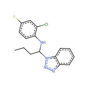 CCCC(Nc1ccc(F)cc1Cl)n1nnc2ccccc21